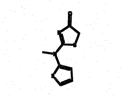 CN(C1=NC(=O)CS1)c1cccs1